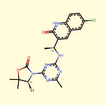 CC[C@@H]1N(c2nc(C)nc(N[C@@H](C)c3cc4cc(Cl)ccc4[nH]c3=O)n2)C(=O)OC1(C)C